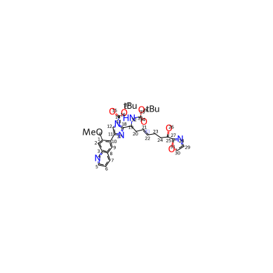 COc1cc2ncccc2cc1-c1cn(C(=O)OC(C)(C)C)c(C(C/C=C/CCC(=O)c2ncco2)NC(=O)OC(C)(C)C)n1